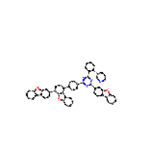 c1cncc(-c2ccccc2-c2nc(-c3ccc(-c4ccc(-c5ccc6c(c5)oc5ccccc56)c5oc6ccccc6c45)cc3)nc(-c3ccc4c(c3)oc3ccccc34)n2)c1